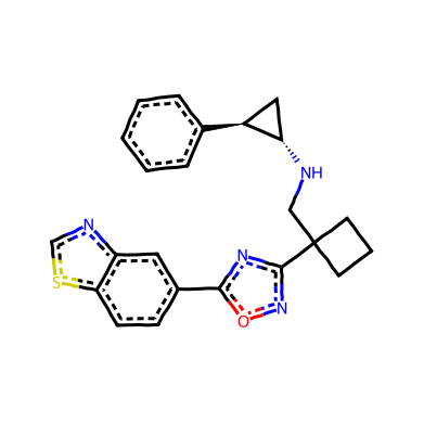 c1ccc([C@H]2C[C@@H]2NCC2(c3noc(-c4ccc5scnc5c4)n3)CCC2)cc1